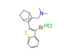 CN(C)CC1=C(c2sc3ccccc3c2Br)C2CCC1C2.Cl